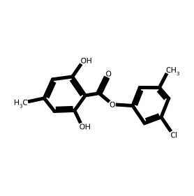 Cc1cc(Cl)cc(OC(=O)c2c(O)cc(C)cc2O)c1